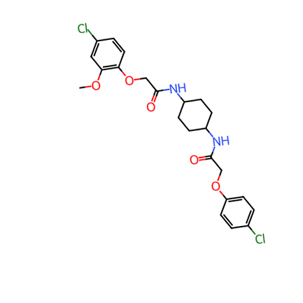 COc1cc(Cl)ccc1OCC(=O)NC1CCC(NC(=O)COc2ccc(Cl)cc2)CC1